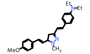 CCN(CC)c1ccc(C=CC2=NN(C)C(C=Cc3ccc(OC)cc3)C2)cc1